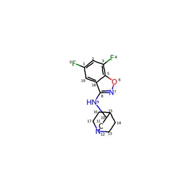 Fc1cc(F)c2onc(NC3CN4CCC3CC4)c2c1